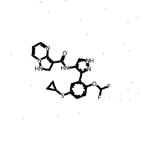 O=C(Nc1c[nH]nc1-c1cc(SC2CC2)ccc1OC(F)F)C1=C2N=CC=CN2NC1